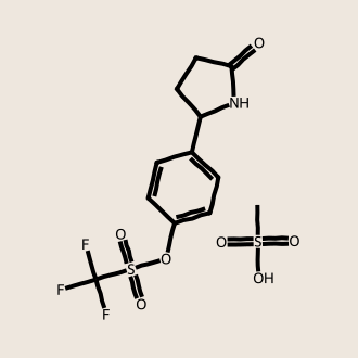 CS(=O)(=O)O.O=C1CCC(c2ccc(OS(=O)(=O)C(F)(F)F)cc2)N1